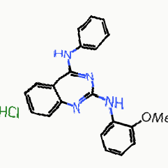 COc1ccccc1Nc1nc(Nc2ccccc2)c2ccccc2n1.Cl